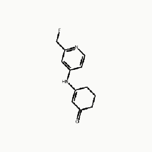 O=C1C=C(Nc2ccnc(CF)c2)CCC1